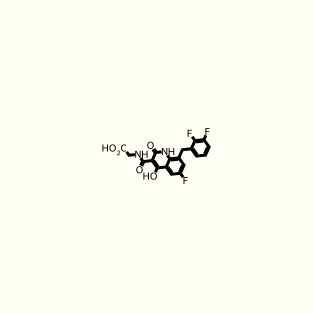 O=C(O)CNC(=O)c1c(O)c2cc(F)cc(Cc3cccc(F)c3F)c2[nH]c1=O